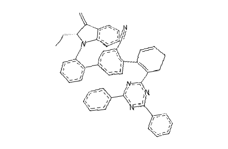 C=C1c2ccccc2N(c2ccccc2-c2ccc(C3=C(c4nc(-c5ccccc5)nc(-c5ccccc5)n4)CCC=C3)c(C#N)c2)[C@@H]1CC